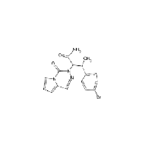 CC(c1ccc(Br)cc1)C(C(N)=O)n1ncc2cccn2c1=O